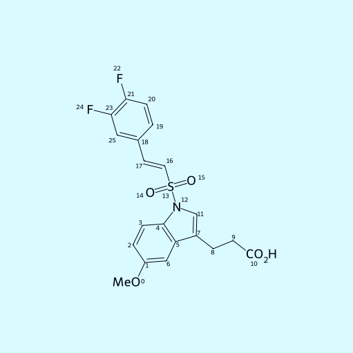 COc1ccc2c(c1)c(CCC(=O)O)cn2S(=O)(=O)/C=C/c1ccc(F)c(F)c1